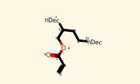 C=CC(=O)OCC(CCCCCCCCCC)CCCCCCCCCCCC